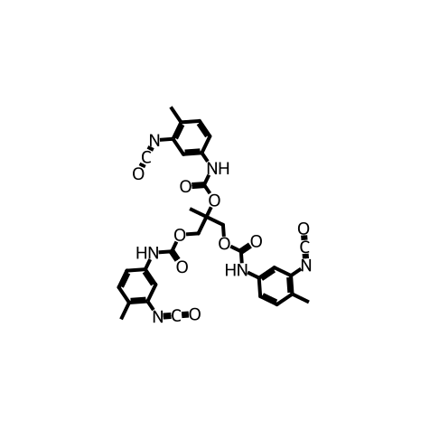 Cc1ccc(NC(=O)OCC(C)(COC(=O)Nc2ccc(C)c(N=C=O)c2)OC(=O)Nc2ccc(C)c(N=C=O)c2)cc1N=C=O